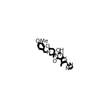 COc1ccc(CN2CC(C)(n3c(=O)[nH]c4sc(-n5nccn5)c(C)c4c3=O)CCC2=O)cc1